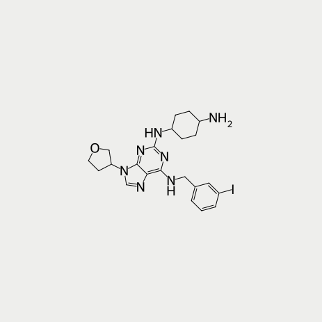 NC1CCC(Nc2nc(NCc3cccc(I)c3)c3ncn(C4CCOC4)c3n2)CC1